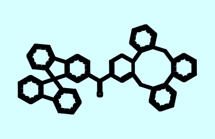 O=C(C1=CCC2C(=C1)Cc1ccccc1-c1ccccc1Cc1ccccc12)c1ccc2c(c1)C1(c3ccccc3-c3ccccc31)c1ccccc1-2